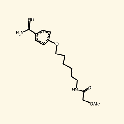 COCC(=O)NCCCCCCOc1ccc(C(=N)N)cc1